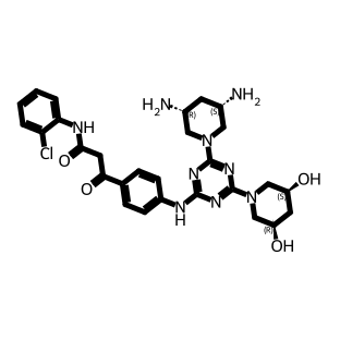 N[C@@H]1C[C@H](N)CN(c2nc(Nc3ccc(C(=O)CC(=O)Nc4ccccc4Cl)cc3)nc(N3C[C@H](O)C[C@H](O)C3)n2)C1